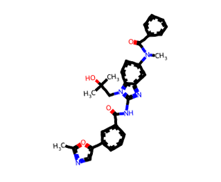 Cc1ncc(-c2cccc(C(=O)Nc3nc4cc(N(C)C(=O)c5ccccc5)ccc4n3CC(C)(C)O)c2)o1